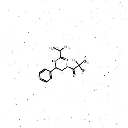 CC(N)C(=O)NC(CNC(=O)C(C)(C(C)C)C(C)C)c1ccccc1